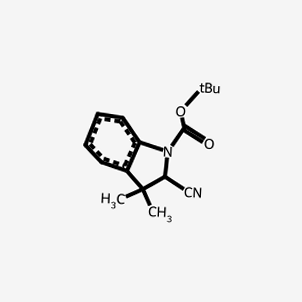 CC(C)(C)OC(=O)N1c2ccccc2C(C)(C)C1C#N